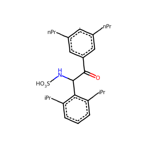 CCCc1[c]c(CCC)cc(C(=O)C(NS(=O)(=O)O)c2c(C(C)C)cccc2C(C)C)c1